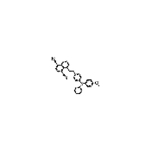 COc1ccc(N(c2ccccc2)c2ccc(C=Cc3cccc4c(C#N)ccc(C#N)c34)cc2)cc1